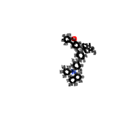 CC1(C)c2ccc(-c3ccc(N(c4ccccc4)c4cccc5ccccc45)cc3)cc2-c2cc3c(cc21)oc1ccccc13